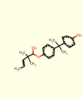 CC=CC(C)(C)C(O)Oc1ccc(C(C)(C)c2ccc(O)cc2)cc1